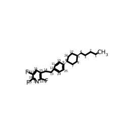 CCCCC[C@H]1CC[C@H](c2ccc(CCc3cc(F)c(F)nc3F)cc2)CC1